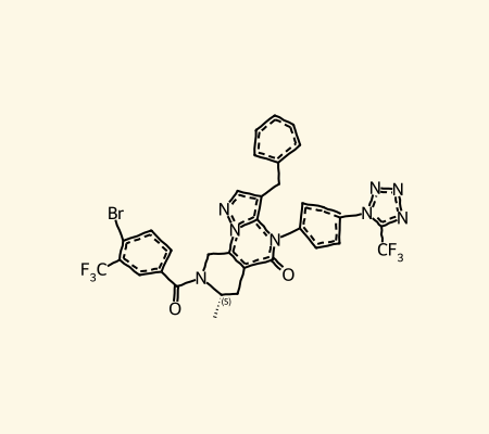 C[C@H]1Cc2c(n3ncc(Cc4ccccc4)c3n(-c3ccc(-n4nnnc4C(F)(F)F)cc3)c2=O)CN1C(=O)c1ccc(Br)c(C(F)(F)F)c1